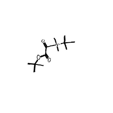 CC(C)(C)OC(=O)C(=O)[N+](C)(C)C(C)(C)C